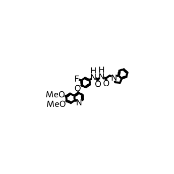 COc1cc2nccc(Oc3ccc(NC(=O)NC(=O)CN4CCc5ccccc54)cc3F)c2cc1OC